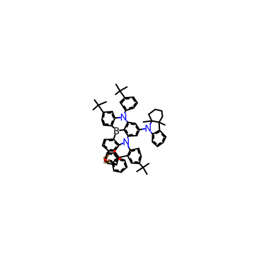 CC(C)(C)c1cccc(N2c3cc(C(C)(C)C)ccc3B3c4ccc5sc6ccccc6c5c4N(c4ccc(C(C)(C)C)cc4-c4ccccc4)c4cc(N5c6ccccc6C6(C)CCCCC56C)cc2c43)c1